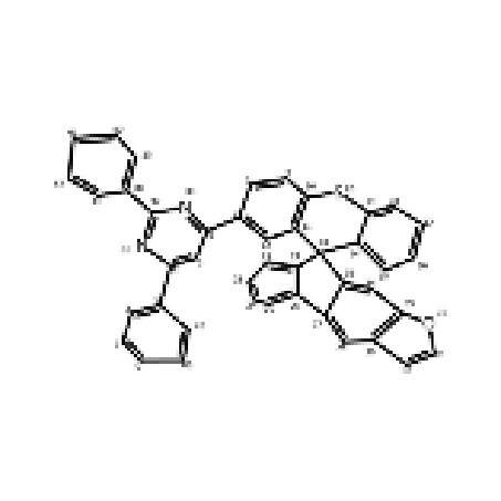 c1ccc(-c2cc(-c3ccc4c(c3)C3(c5ccccc5S4)c4ccccc4-c4cc5ccoc5cc43)nc(-c3ccccc3)n2)cc1